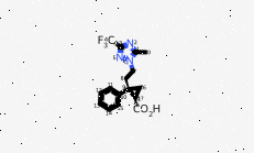 Cc1nc(C(F)(F)F)nn1CC[C@@]1(c2ccccc2)C[C@H]1C(=O)O